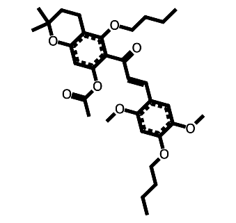 CCCCOc1cc(OC)c(/C=C/C(=O)c2c(OC(C)=O)cc3c(c2OCCCC)CCC(C)(C)O3)cc1OC